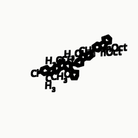 CCCCCCCCC1(CCCCCCCC)c2ccccc2-c2ccc(-c3ccc4c(c3)C(C)(C)c3cc(-c5cc6c(c7oc8ccccc8c57)-c5cc7c(cc5C6(C)C)-c5ccc(Cl)cc5C7(C)C)ccc3-4)cc21